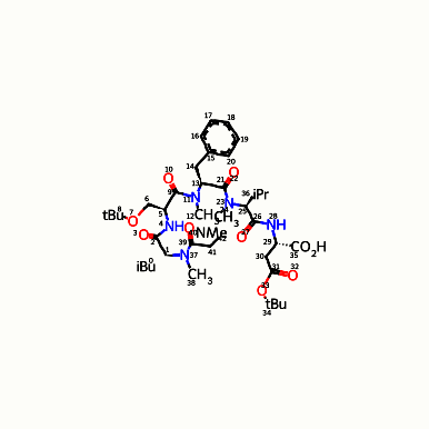 CC[C@H](C)[C@@H](C(=O)N[C@@H](COC(C)(C)C)C(=O)N(C)[C@@H](Cc1ccccc1)C(=O)N(C)[C@H](C(=O)N[C@@H](CC(=O)OC(C)(C)C)C(=O)O)C(C)C)N(C)C(=O)CNC